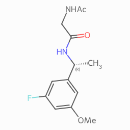 COc1cc(F)cc([C@@H](C)NC(=O)CNC(C)=O)c1